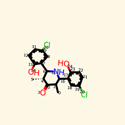 CC1C(=O)[C@H](C)C(c2cc(Cl)ccc2O)NC1c1cc(Cl)ccc1O